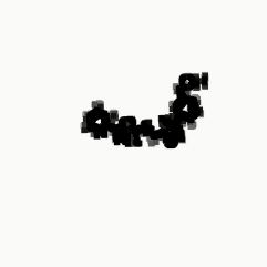 OCc1cccc(-c2noc(CSc3nnc(-c4ccccn4)o3)n2)c1